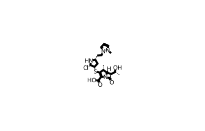 C[C@@H](O)[C@H]1C(=O)N2C(C(=O)O)=C(S[C@@H]3CN[C@H](CC[n+]4cccn4C)C3)[C@H](C)[C@H]12.[Cl-]